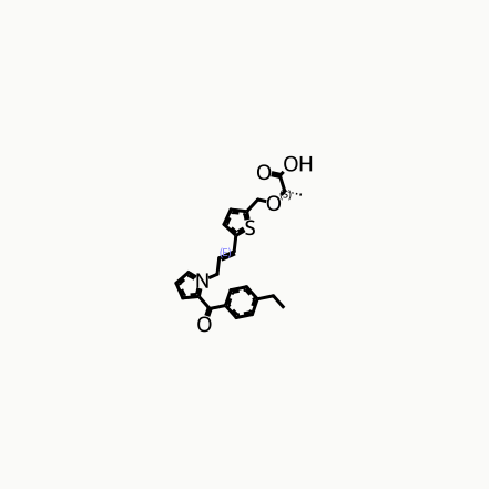 CCc1ccc(C(=O)c2cccn2C/C=C/c2ccc(CO[C@@H](C)C(=O)O)s2)cc1